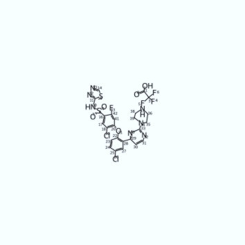 O=C(O)C(F)(F)F.O=S(=O)(Nc1nncs1)c1cc(Cl)c(Oc2ccc(Cl)cc2-c2ccnc(N3CCNCC3)n2)cc1F